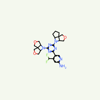 Nc1cc(C(F)F)c(-c2nc(N3C4CCCC45COCC35)nc(N3C4COCC45COCC35)n2)cn1